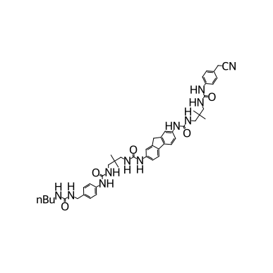 CCCCNC(=O)NCc1ccc(NC(=O)NCC(C)(C)CNC(=O)Nc2ccc3c(c2)Cc2cc(NC(=O)NCC(C)(C)CNC(=O)Nc4ccc(CC#N)cc4)ccc2-3)cc1